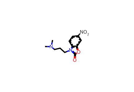 CN(C)CCCn1c(=O)oc2cc([N+](=O)[O-])ccc21